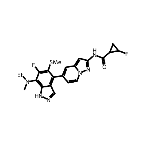 CCN(C)c1c(F)c(SC)c(-c2ccn3nc(NC(=O)C4CC4F)cc3c2)c2cn[nH]c12